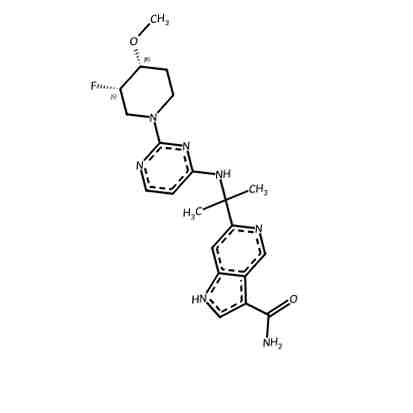 CO[C@@H]1CCN(c2nccc(NC(C)(C)c3cc4[nH]cc(C(N)=O)c4cn3)n2)C[C@@H]1F